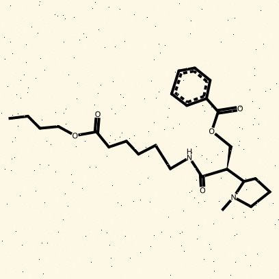 CCCCOC(=O)CCCCCNC(=O)[C@@H](COC(=O)c1ccccc1)C1CCCN1C